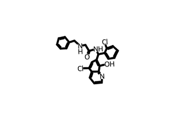 O=C(CNCc1ccccc1)NC(c1ccccc1Cl)c1cc(Cl)c2cccnc2c1O